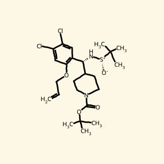 C=CCOc1cc(Cl)c(Cl)cc1[C@H](N[S@@+]([O-])C(C)(C)C)C1CCN(C(=O)OC(C)(C)C)CC1